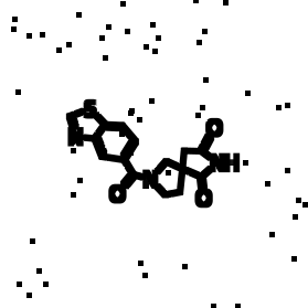 O=C1CC2(CCN(C(=O)c3ccc4scnc4c3)C2)C(=O)N1